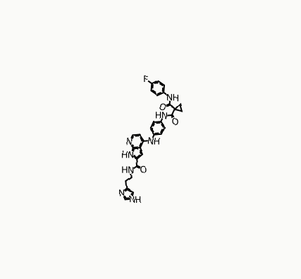 O=C(NCCc1c[nH]cn1)c1cc2c(Nc3ccc(NC(=O)C4(C(=O)Nc5ccc(F)cc5)CC4)cc3)ccnc2[nH]1